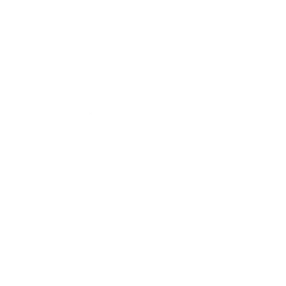 [C]1C=CCCC1